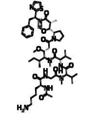 CC[C@H](C)[C@@H]([C@@H](CC(=O)N1CCC[C@H]1C(OC)[C@@H](C)C(=O)N[C@@H](Cc1ccccc1)c1nccs1)OC)N(C)C(=O)[C@@H](NC(=O)C(C(C)C)N(C)C(=O)CNC(=O)[C@H](CCCCN)NC(C)=O)C(C)C